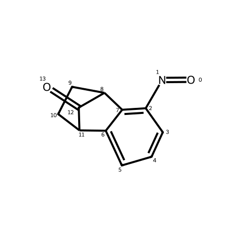 O=Nc1cccc2c1C1CCC2C1=O